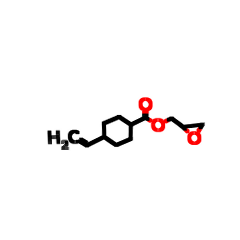 C=CC1CCC(C(=O)OCC2CO2)CC1